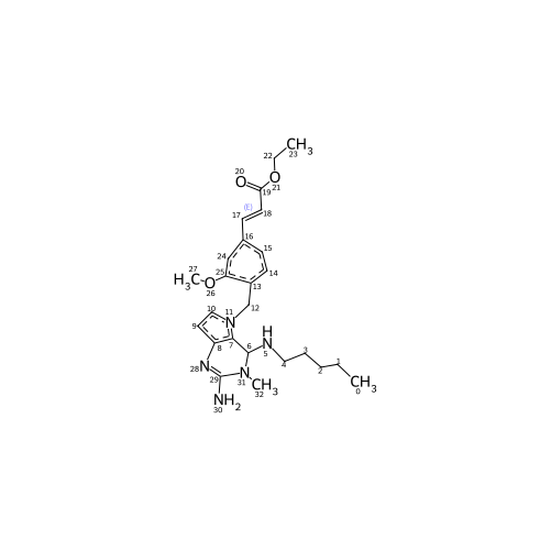 CCCCCNC1c2c(ccn2Cc2ccc(/C=C/C(=O)OCC)cc2OC)N=C(N)N1C